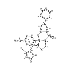 COc1ccc(C23Cn4cc(-c5cccnc5)cc4C(=O)N2CCN3C(=O)c2conc2C)cc1